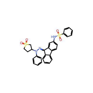 O=S1(=O)CCC(N(/N=C2\c3ccccc3-c3ccc(NS(=O)(=O)c4ccccc4)cc32)c2ccccc2)C1